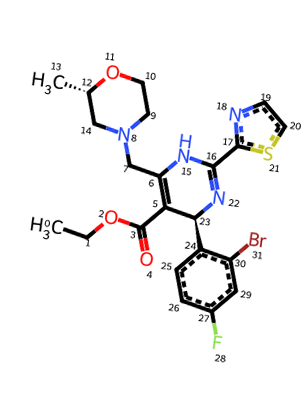 CCOC(=O)C1=C(CN2CCO[C@@H](C)C2)NC(c2nccs2)=N[C@H]1c1ccc(F)cc1Br